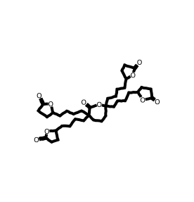 O=C1CCC(CCCCC2(CCCCC3CCC(=O)O3)CCCC(CCCCC3CCC(=O)O3)(CCCCC3CCC(=O)O3)C(=O)O2)O1